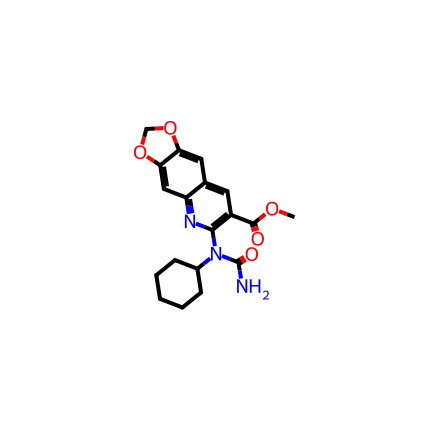 COC(=O)c1cc2cc3c(cc2nc1N(C(N)=O)C1CCCCC1)OCO3